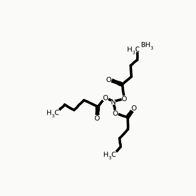 B.CCCCC(=O)ON(OC(=O)CCCC)OC(=O)CCCC